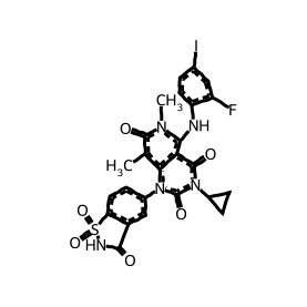 Cc1c(=O)n(C)c(Nc2ccc(I)cc2F)c2c(=O)n(C3CC3)c(=O)n(-c3ccc4c(c3)C(=O)NS4(=O)=O)c12